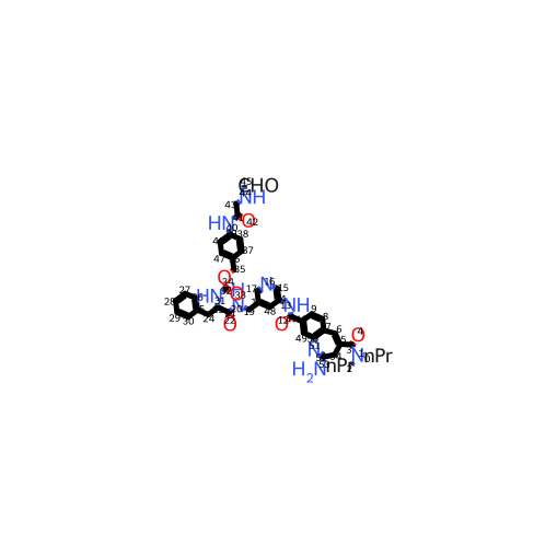 CCCN(CCC)C(=O)C1=Cc2ccc(C(=O)Nc3cncc(CNC(=O)C(Cc4ccccc4)NC(=O)OCc4ccc(NC(=O)CNC=O)cc4)c3)cc2N=C(N)C1